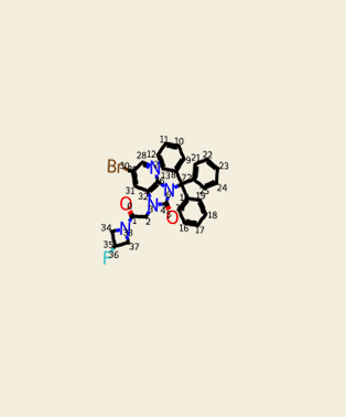 O=C(Cn1c(=O)n(C(c2ccccc2)(c2ccccc2)c2ccccc2)c2ncc(Br)cc21)N1CC(F)C1